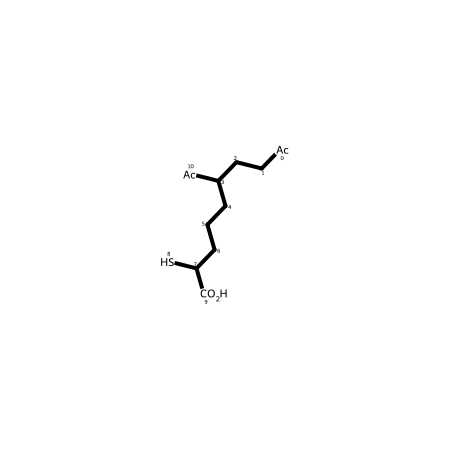 CC(=O)CCC(CCCC(S)C(=O)O)C(C)=O